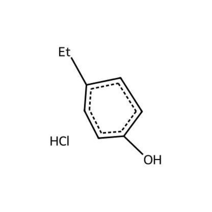 CCc1ccc(O)cc1.Cl